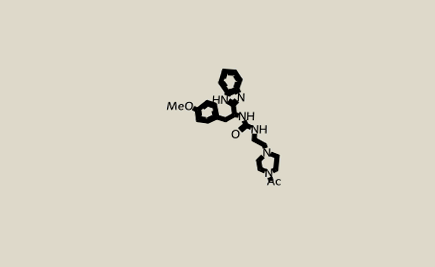 COc1ccc(CC(NC(=O)NCCN2CCN(C(C)=O)CC2)c2nc3ccccc3[nH]2)cc1